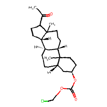 CC(=O)C1CC[C@H]2[C@@H]3CC[C@H]4C[C@H](OC(=O)OCCl)CCC4(C)[C@H]3CCC12C